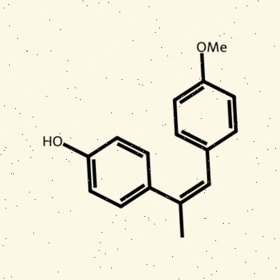 COc1ccc(C=C(C)c2ccc(O)cc2)cc1